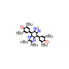 CCCCc1nc2c(=C3C=C(C(C)(C)C)C(=O)C(C(C)(C)C)=C3)c3nsnc3c(=C3C=C(C(C)(C)C)C(=O)C(C(C)(C)C)=C3)c2nc1CCCC